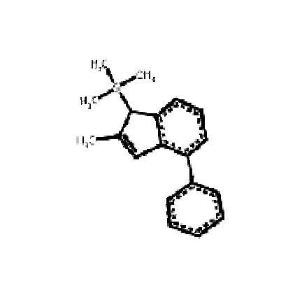 CC1=Cc2c(-c3ccccc3)cccc2C1[Si](C)(C)C